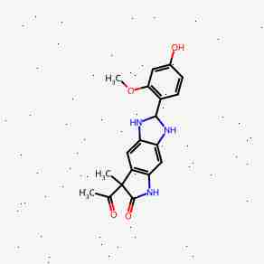 COc1cc(O)ccc1C1Nc2cc3c(cc2N1)C(C)(C(C)=O)C(=O)N3